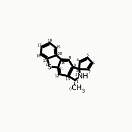 C[C@H]1NC2(C=CC=C2)c2cc3c(cc21)sc1ccccc13